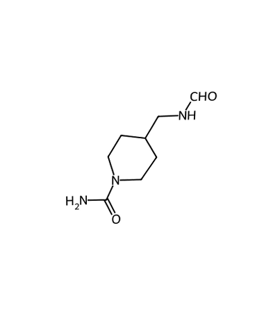 NC(=O)N1CCC(CNC=O)CC1